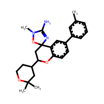 CN1OC2(CC(C3CCOC(C)(C)C3)Oc3ccc(-c4cccc(C(F)(F)F)c4)cc32)N=C1N